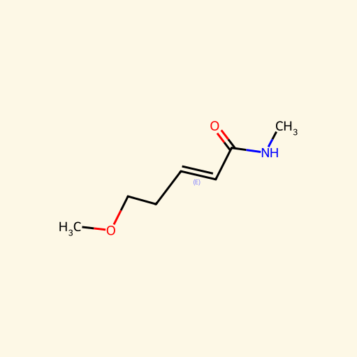 CNC(=O)/C=C/CCOC